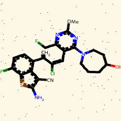 C=C(/C(Cl)=C\c1c(CF)nc(OC)nc1N1CCCC(O)CC1)c1ccc(F)c2sc(N)c(C#N)c12